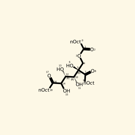 CCCCCCCCC(=O)OC[C@](O)(C(=O)CCCCCCCC)[C@H](O)[C@@H](O)C(O)C(=O)CCCCCCCC